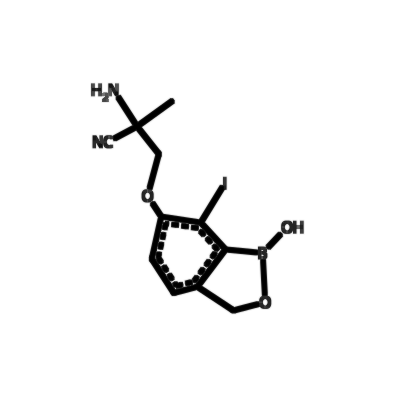 CC(N)(C#N)COc1ccc2c(c1I)B(O)OC2